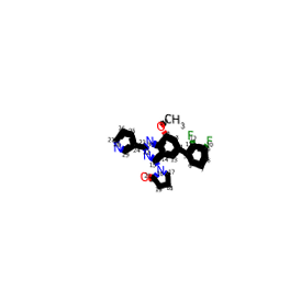 COc1cc(-c2cccc(F)c2F)cc2c(N3CCCC3=O)nc(-c3cccnc3)nc12